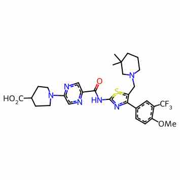 COc1ccc(-c2nc(NC(=O)c3cnc(N4CCC(C(=O)O)CC4)cn3)sc2CN2CCCC(C)(C)C2)cc1C(F)(F)F